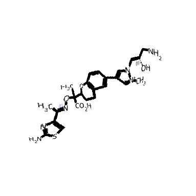 C/C(=N\OC(C)(C(=O)O)C1CCc2cc(-c3cn(C[C@@H](O)CN)[n+](C)c3)ccc2O1)c1csc(N)n1